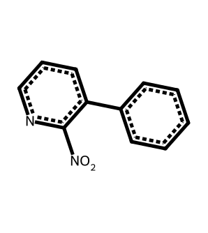 O=[N+]([O-])c1ncccc1-c1ccccc1